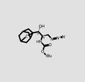 CC(C)(C)OC(=O)N[C@H](CN=[N+]=[N-])[C@@H](O)C12CC3CC(CC1C3)C2